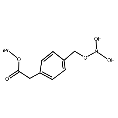 CC(C)OC(=O)Cc1ccc(CON(O)O)cc1